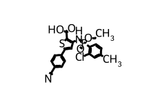 CCOP(=O)(Nc1cc(-c2ccc(C#N)cc2)sc1C(=O)O)c1ccc(C)cc1Cl